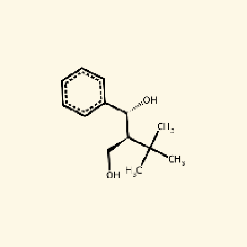 CC(C)(C)[C@@H](CO)[C@@H](O)c1ccccc1